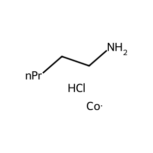 CCCCCN.Cl.[Co]